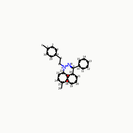 Cc1ccc(CCN(N=C(c2ccccc2)c2ccccc2)c2ccc(C)cc2)cc1